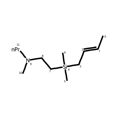 CC=CC[Si](C)(C)CCN(C)CCC